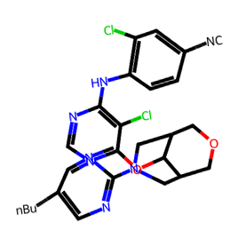 [C-]#[N+]c1ccc(Nc2ncnc(OC3C4COCC3CN(c3ncc(CCCC)cn3)C4)c2Cl)c(Cl)c1